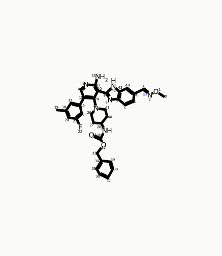 CO/N=C/c1ccc2nc(-c3c(N)ncc(-c4cc(C)cc(F)c4)c3N3CCC(NC(=O)OCc4ccccc4)CC3)[nH]c2c1